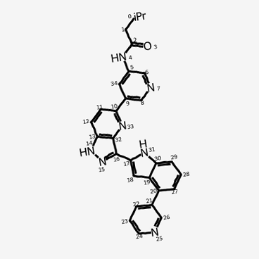 CC(C)CC(=O)Nc1cncc(-c2ccc3[nH]nc(-c4cc5c(-c6cccnc6)cccc5[nH]4)c3n2)c1